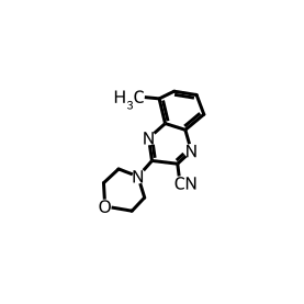 Cc1cccc2nc(C#N)c(N3CCOCC3)nc12